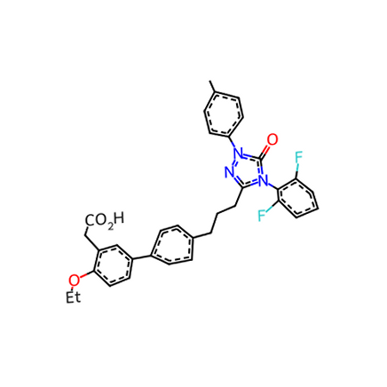 CCOc1ccc(-c2ccc(CCCc3nn(-c4ccc(C)cc4)c(=O)n3-c3c(F)cccc3F)cc2)cc1CC(=O)O